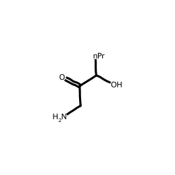 CCCC(O)C(=O)CN